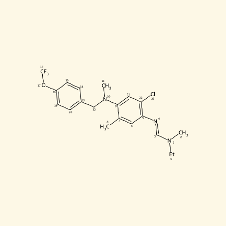 CCN(C)C=Nc1cc(C)c(N(C)Cc2ccc(OC(F)(F)F)cc2)cc1Cl